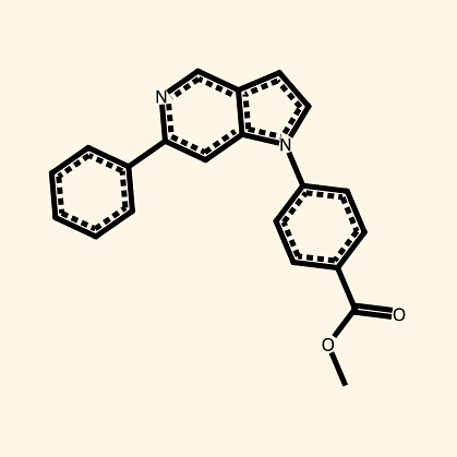 COC(=O)c1ccc(-n2ccc3cnc(-c4ccccc4)cc32)cc1